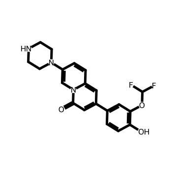 O=c1cc(-c2ccc(O)c(OC(F)F)c2)cc2ccc(N3CCNCC3)cn12